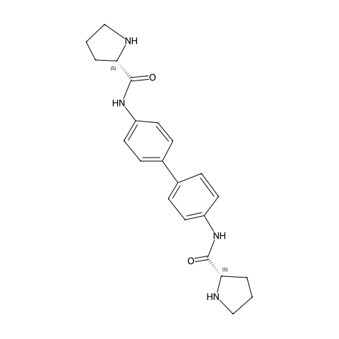 O=C(Nc1ccc(-c2ccc(NC(=O)[C@@H]3CCCN3)cc2)cc1)[C@@H]1CCCN1